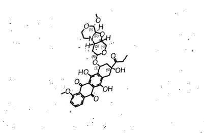 CCC(=O)[C@]1(O)Cc2c(O)c3c(c(O)c2[C@@H](O[C@H]2C[C@H]4[C@H](O[C@@H]5[C@@H](OC)OCCN54)[C@H](C)O2)C1)C(=O)c1c(OC)cccc1C3=O